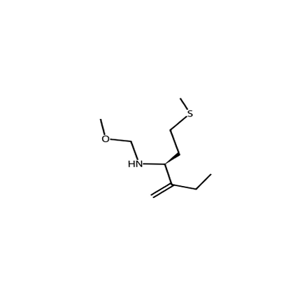 C=C(CC)[C@H](CCSC)NCOC